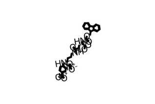 O=C(CC[C@H](NC(=O)OCC1c2ccccc2-c2ccccc21)C(=O)O)NCCCCNc1ccc([N+](=O)[O-])cc1[N+](=O)[O-]